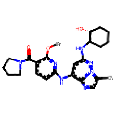 CC(C)Oc1nc(Nc2cc(NC3CCCC[C@H]3O)nn3c(C#N)cnc23)ccc1C(=O)N1CCCC1